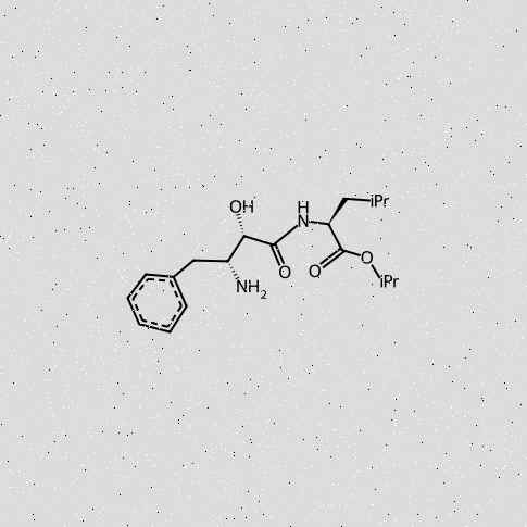 CC(C)C[C@H](NC(=O)[C@@H](O)[C@H](N)Cc1ccccc1)C(=O)OC(C)C